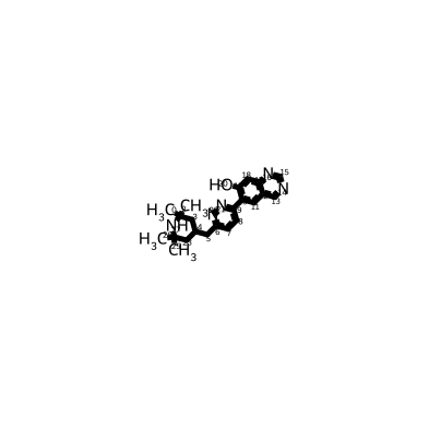 CC1(C)CC(Cc2ccc(-c3cc4cncnc4cc3O)nn2)CC(C)(C)N1